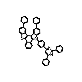 c1ccc(-c2ccc3sc4c5ccccc5c5c(c6cc(-c7ccccc7)ccc6n5-c5ccc(-c6cc(-c7ccccc7)nc(-c7ccccc7)n6)cc5)c4c3c2)cc1